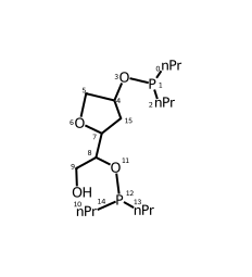 CCCP(CCC)OC1COC(C(CO)OP(CCC)CCC)C1